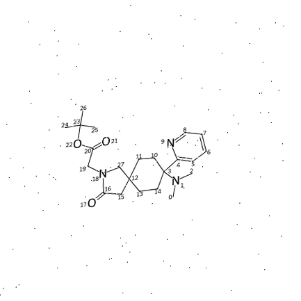 CN(C)C1(c2ccccn2)CCC2(CC1)CC(=O)N(CC(=O)OC(C)(C)C)C2